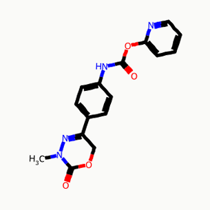 CN1N=C(c2ccc(NC(=O)Oc3ccccn3)cc2)COC1=O